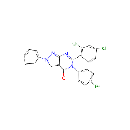 O=c1c2cn(-c3ccccc3)nc2nc(-c2ccc(Cl)cc2Cl)n1-c1ccc(Br)cc1